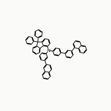 c1ccc(C2(c3ccccc3)c3ccccc3-c3c(N(c4ccc(-c5cccc(-c6cccc7ccccc67)c5)cc4)c4cccc(-c5ccc6ccccc6c5)c4)cccc32)cc1